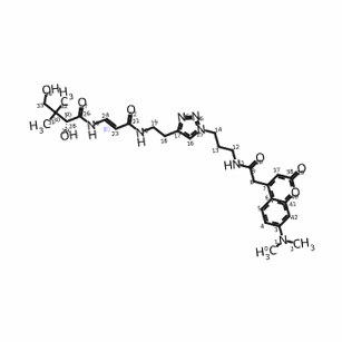 CN(C)c1ccc2c(CC(=O)NCCCn3cc(CCNC(=O)/C=C/NC(=O)[C@H](O)C(C)(C)CO)nn3)cc(=O)oc2c1